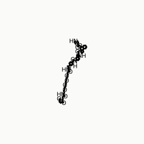 C/C(=N\NC(=O)CCOCCOCCOCCOCCNC(=O)CCN1C(=O)C=CC1=O)c1ccc(C(=O)Nc2ccc3[nH]c(C(=O)N4CCC5=C6C=CC=CC6C(OC(=O)N6CCNCC6)C=C54)cc3c2)cc1